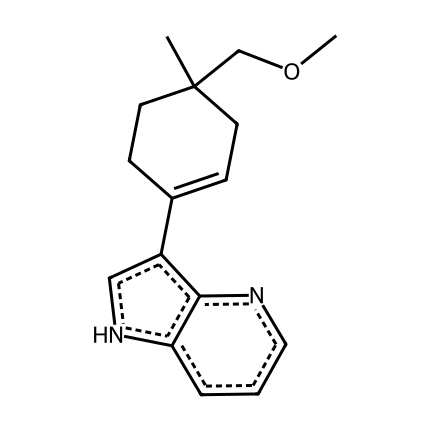 COCC1(C)CC=C(c2c[nH]c3cccnc23)CC1